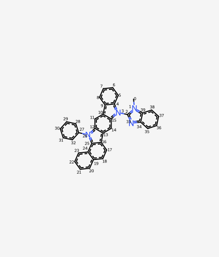 Cn1c(-n2c3ccccc3c3cc4c(cc32)c2ccc3ccccc3c2n4-c2ccccc2)nc2ccccc21